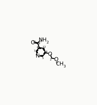 COCOc1cncc(C(N)=O)c1